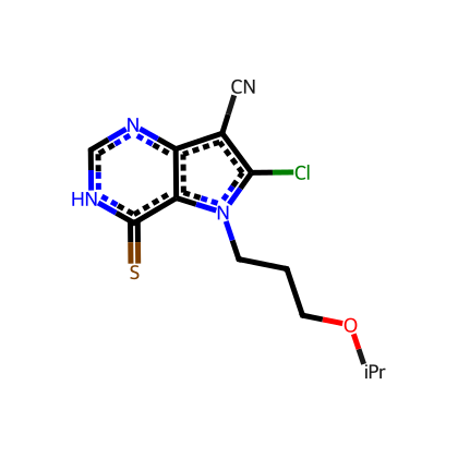 CC(C)OCCCn1c(Cl)c(C#N)c2nc[nH]c(=S)c21